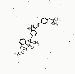 COCCN(C(=O)[C@]1(C)C[C@H]1c1ccc2c(/C=C/c3ccc(CN(C)C)cc3)n[nH]c2c1)c1ccccc1C